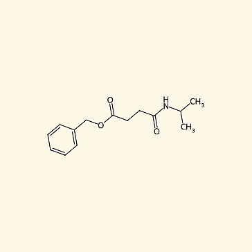 CC(C)NC(=O)CCC(=O)OCc1ccccc1